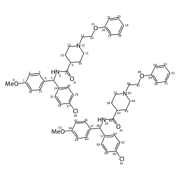 COc1ccc(C(NC(=O)C2CCN(CCOc3ccccc3)CC2)c2ccc(Cl)cc2)cc1.COc1ccc(C(NC(=O)C2CCN(CCOc3ccccc3)CC2)c2ccc(Cl)cc2)cc1